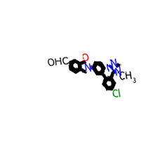 Cn1cnnc1-c1cc(Cl)ccc1-c1cccc(N2Cc3ccc(C=O)cc3C2=O)c1